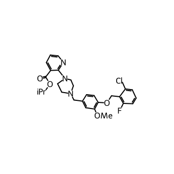 COc1cc(CN2CCN(c3ncccc3C(=O)OC(C)C)CC2)ccc1OCc1c(F)cccc1Cl